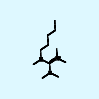 CCCCCN(C)C(N(C)C)=[N+](C)C